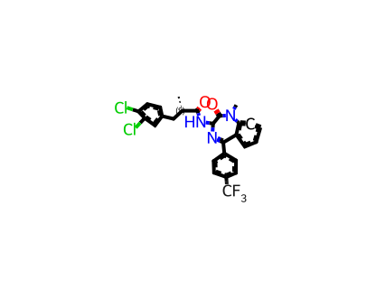 C[C@@H](Cc1ccc(Cl)c(Cl)c1)C(=O)NC1N=C(c2ccc(C(F)(F)F)cc2)c2ccccc2N(C)C1=O